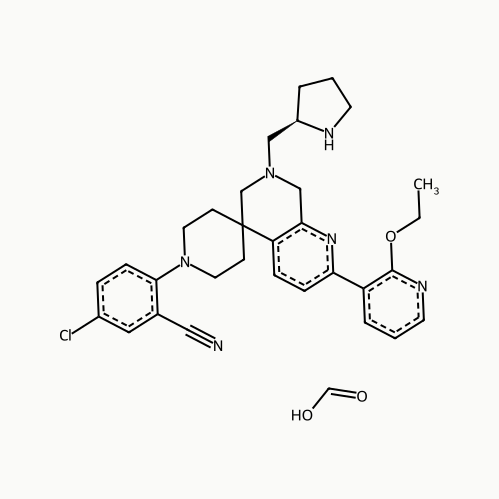 CCOc1ncccc1-c1ccc2c(n1)CN(C[C@H]1CCCN1)CC21CCN(c2ccc(Cl)cc2C#N)CC1.O=CO